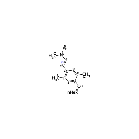 CCCCCCOc1cc(C)c(/N=C/N(C)CC)cc1C